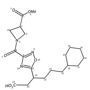 COC(=O)C1CN(C(=O)c2noc(C(CCCC3CCCCC3)CC(=O)O)n2)C1